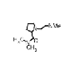 CNCCN1CCCC1C(=O)N(C)C